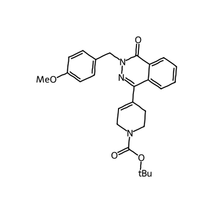 COc1ccc(Cn2nc(C3=CCN(C(=O)OC(C)(C)C)CC3)c3ccccc3c2=O)cc1